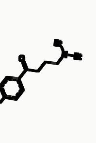 CCN(CC)CCCC(=O)c1ccc(F)cc1